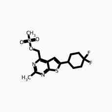 Cc1nc(COS(C)(=O)=O)c2cc(C3CCC(F)(F)CC3)sc2n1